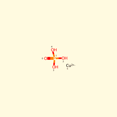 O=P(O)(O)O.[Cu+2]